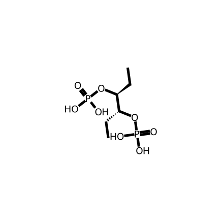 CC[C@H](OP(=O)(O)O)[C@@H](CC)OP(=O)(O)O